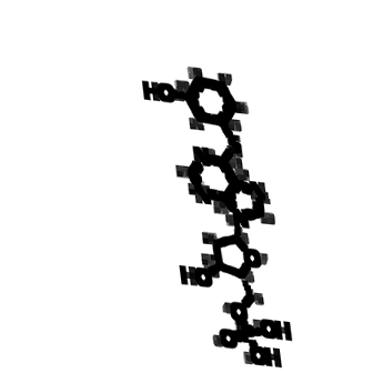 O=P(O)(O)OC[C@H]1O[C@@H](n2cnc3c(Sc4cccc(O)c4)ncnc32)C[C@@H]1O